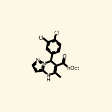 CCCCCCCCC(=O)C1=C(C)Nc2ccnn2C1c1ccc(Cl)c(Cl)c1